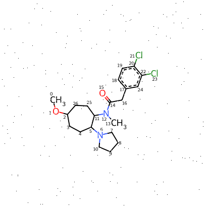 COC1CCC(N2CCCC2)C(N(C)C(=O)Cc2ccc(Cl)c(Cl)c2)CC1